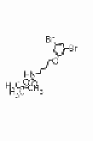 CC(C)(C)OC(=O)NCCCCOc1cc(Br)cc(Br)c1